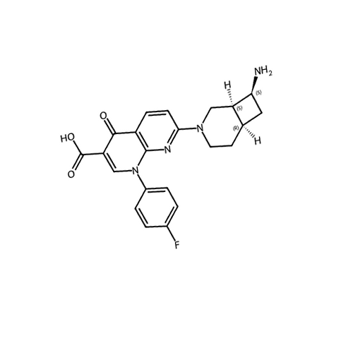 N[C@H]1C[C@H]2CCN(c3ccc4c(=O)c(C(=O)O)cn(-c5ccc(F)cc5)c4n3)C[C@H]21